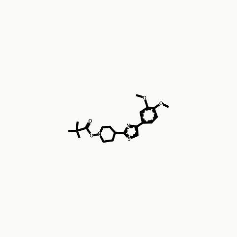 COc1ccc(-c2csc(C3CCN(OC(=O)C(C)(C)C)CC3)n2)cc1OC